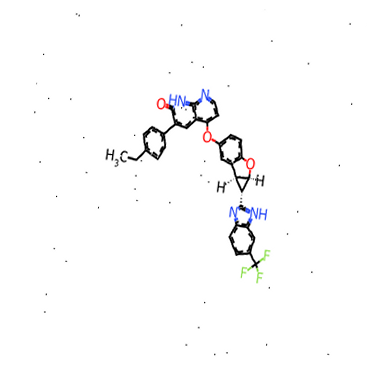 CCc1ccc(-c2cc3c(Oc4ccc5c(c4)[C@H]4[C@@H](O5)[C@@H]4c4nc5ccc(C(F)(F)F)cc5[nH]4)ccnc3[nH]c2=O)cc1